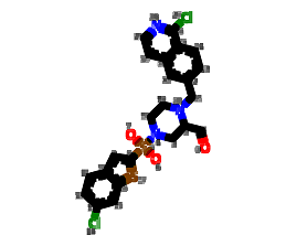 O=CC1CN(S(=O)(=O)c2cc3ccc(Cl)cc3s2)CCN1Cc1ccc2c(Cl)nccc2c1